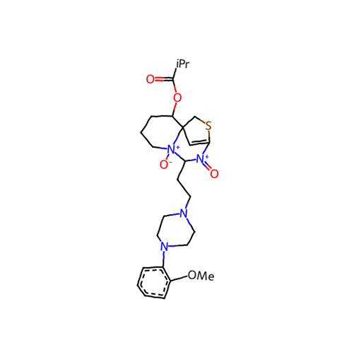 COc1ccccc1N1CCN(CCC2[N+](=O)C3=CC4(CS3)C(OC(=O)C(C)C)CCC[N+]24[O-])CC1